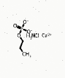 CCCOP(=O)([O-])[O-].Cl.N.[Ca+2]